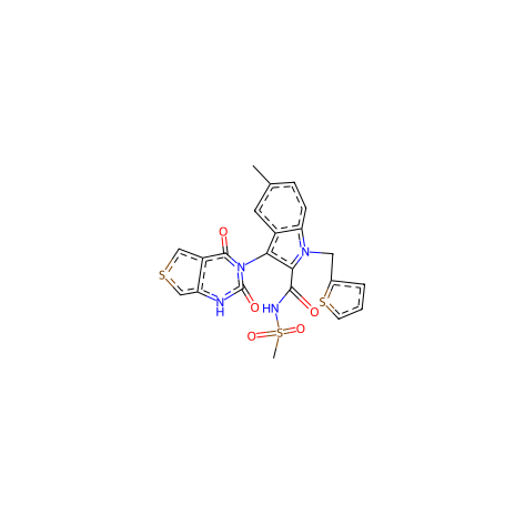 Cc1ccc2c(c1)c(-n1c(=O)[nH]c3cscc3c1=O)c(C(=O)NS(C)(=O)=O)n2Cc1cccs1